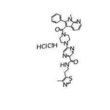 Cc1ncsc1CCNC(=O)c1cnc(N2CCN(C(=O)c3c(-c4ccccc4)n(C)c4ncccc34)CC2)cn1.Cl.Cl